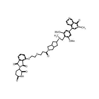 COc1cc(-c2cn(C)c(=O)c3cnccc23)cc(OC)c1CN(C)C1CC2CN(C(=O)CCOCCOc3cccc4c3C(=O)N(C3CCC(=O)NC3=O)C4=O)CC2C1